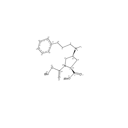 COC(=O)[C@@H]1C[C@H](N(C)CCCc2ccccc2)CN1C(=O)OC(C)(C)C